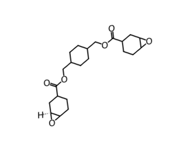 O=C(OCC1CCC(COC(=O)C2CCC3O[C@H]3C2)CC1)C1CCC2OC2C1